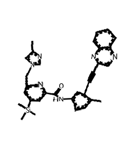 Cc1cn(Cc2cc([Si](C)(C)C)cc(C(=O)Nc3ccc(C)c(C#Cc4cnc5ccccc5n4)c3)n2)cn1